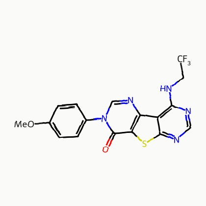 COc1ccc(-n2cnc3c(sc4ncnc(NCC(F)(F)F)c43)c2=O)cc1